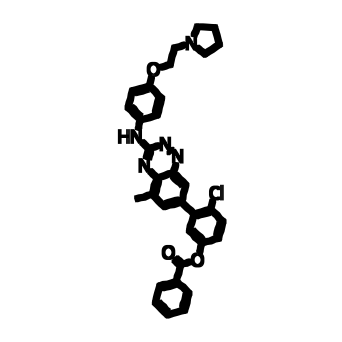 Cc1cc(-c2cc(OC(=O)c3ccccc3)ccc2Cl)cc2nnc(Nc3ccc(OCCN4CCCC4)cc3)nc12